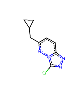 Clc1nnc2ccc(CC3CC3)nn12